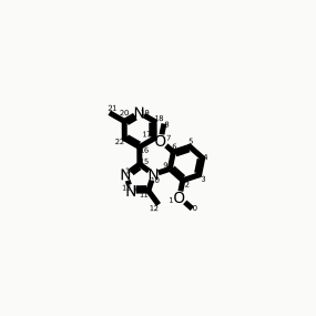 COc1cccc(OC)c1-n1c(C)nnc1-c1ccnc(C)c1